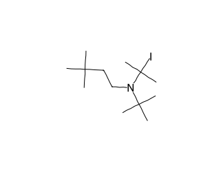 CC(C)(C)CCN(C(C)(C)C)C(C)(C)I